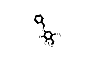 CC1=C(C=O)C(C)=C(F)C(OCc2ccccc2)C1